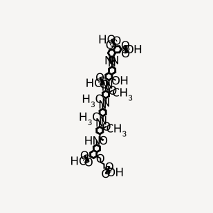 COc1cc(C(=O)Nc2ccc3c(OCCCS(=O)(=O)O)cc(S(=O)(=O)O)cc3c2)ccc1N=Nc1ccc(N=Nc2cc(OC)c(N=Nc3c(S(=O)(=O)O)cc4cc(-n5nc6ccc7c(S(=O)(=O)O)cc(S(=O)(=O)O)cc7c6n5)ccc4c3O)cc2C)cc1C